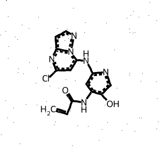 C=CC(=O)Nc1cc(Nc2cc(Cl)nc3ccnn23)ncc1O